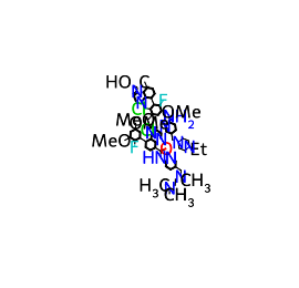 CCN1CCN(Cc2ccc(N)nc2)CC1.COc1cc(OC)c(Cl)c(-c2ccc(C(=O)Nc3ccc(CN(C)CCN(C)C)cn3)c3nccnc23)c1F.COc1cc(OC)c(Cl)c(-c2ccc(C(=O)O)c3nccnc23)c1F